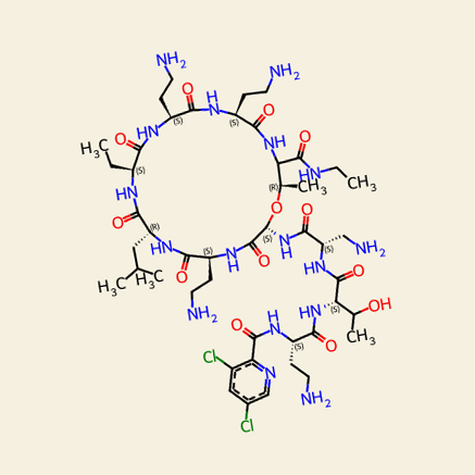 CCNC(=O)C1NC(=O)[C@H](CCN)NC(=O)[C@H](CCN)NC(=O)[C@H](CC)NC(=O)[C@@H](CC(C)C)NC(=O)[C@H](CCN)NC(=O)[C@@H](NC(=O)[C@H](CN)NC(=O)[C@@H](NC(=O)[C@H](CCN)NC(=O)c2ncc(Cl)cc2Cl)C(C)O)O[C@@H]1C